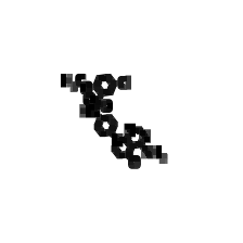 COc1ccc(Cl)cc1S(=O)(=O)Nc1ccc(-n2ccc(=O)c3c(N)ncnc32)cc1